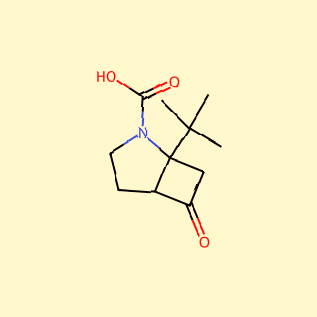 CC(C)(C)C12CC(=O)C1CCN2C(=O)O